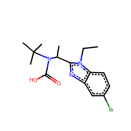 CCn1c(C(C)N(C(=O)O)C(C)(C)C)nc2cc(Br)ccc21